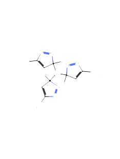 CC1=C[C](C)([GeH]([C]2(C)C=C(C)N=N2)[C]2(C)C=C(C)N=N2)N=N1